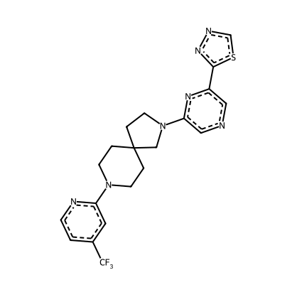 FC(F)(F)c1ccnc(N2CCC3(CC2)CCN(c2cncc(-c4nncs4)n2)C3)c1